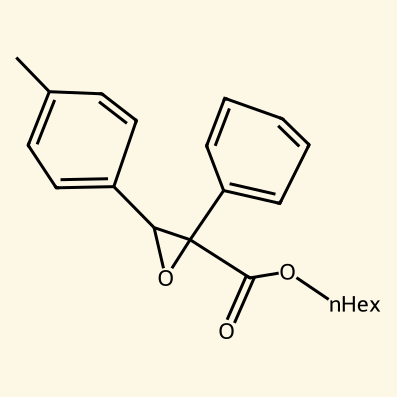 CCCCCCOC(=O)C1(c2ccccc2)OC1c1ccc(C)cc1